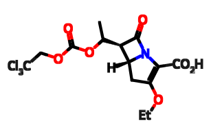 CCOC1=C(C(=O)O)N2C(=O)[C@H](C(C)OC(=O)OCC(Cl)(Cl)Cl)[C@H]2C1